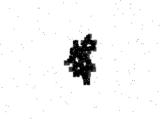 Cc1cccc(N(C=S)C2(C(=O)N(C)c3cnc(C#N)c(C(F)(F)F)c3)CCC2)c1